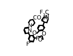 O=C(O)C1CCN(c2cccc(-c3cc(F)cc(F)c3OCc3ccc(C4CCN(CC(F)(F)F)CC4)cc3OC3COC3)n2)CC1